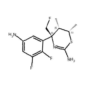 C[C@@H]1SC(N)=N[C@](CF)(c2cc(N)cc(F)c2F)[C@@H]1C